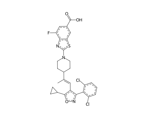 CC(=Cc1c(-c2c(Cl)cccc2Cl)noc1C1CC1)C1CCN(c2nc3c(F)cc(C(=O)O)cc3s2)CC1